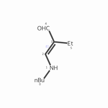 CCCCN/C=C(/C=O)CC